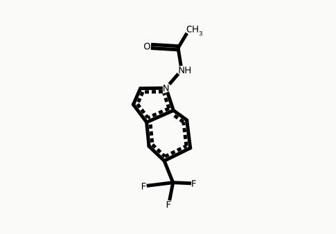 CC(=O)Nn1ccc2cc(C(F)(F)F)ccc21